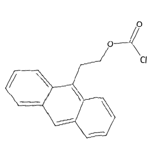 O=C(Cl)OCCc1c2ccccc2cc2ccccc12